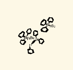 C(#C[S+](c1ccccc1)c1ccccc1)[I+]c1ccccc1.CCCC[B-](c1ccccc1)(c1ccccc1)c1ccccc1.CCCC[B-](c1ccccc1)(c1ccccc1)c1ccccc1